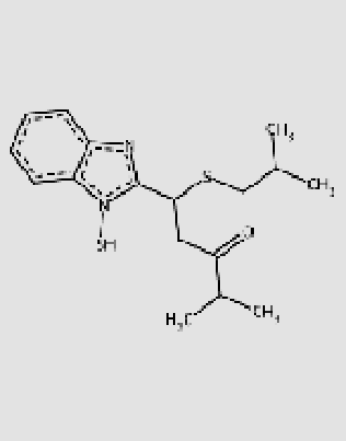 CC(C)CSC(CC(=O)C(C)C)c1nc2ccccc2n1S